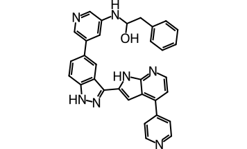 OC(Cc1ccccc1)Nc1cncc(-c2ccc3[nH]nc(-c4cc5c(-c6ccncc6)ccnc5[nH]4)c3c2)c1